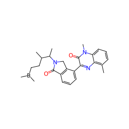 CB(C)CCC(C)C(C)N1Cc2c(cccc2-c2nc3c(C)cccc3n(C)c2=O)C1=O